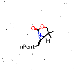 CCCCC/C=C1/[C@H]2N1C(=O)OCC2(C)C